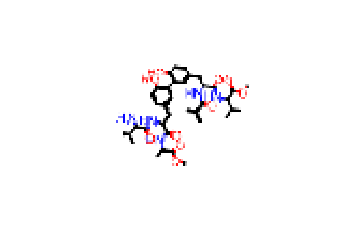 COC(=O)C(C)NC(=O)C(Cc1ccc(O)c(-c2cc(CC(NC(=O)C(C)C)C(=O)NC(C(=O)OC)C(C)C)ccc2O)c1)NC(=O)C(N)C(C)C